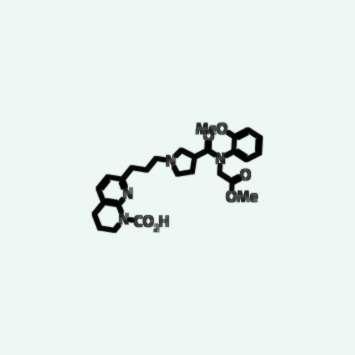 COC(=O)CN(C(=O)C1CCN(CCCc2ccc3c(n2)N(C(=O)O)CCC3)C1)c1ccccc1OC